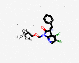 C[Si](C)(C)CCOCN1C(=O)/C(=C\c2ccccc2)c2c1ncc(Br)c2Cl